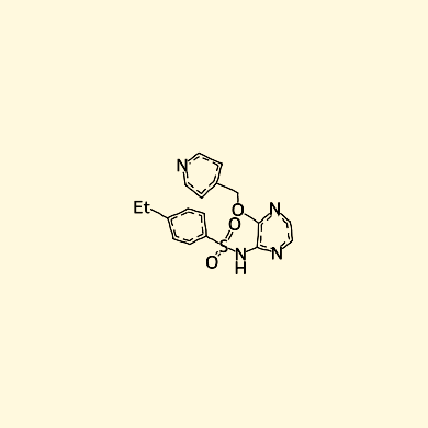 CCc1ccc(S(=O)(=O)Nc2nccnc2OCc2ccncc2)cc1